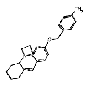 Cc1ccc(COc2ccc(/C=C3/CCCCC3N3CCC3)cc2)cc1